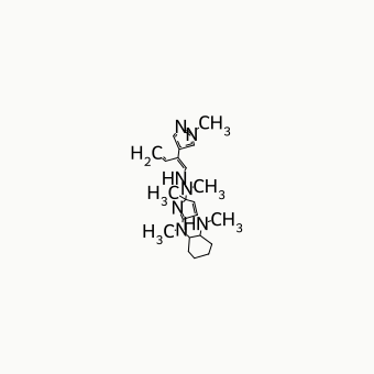 C=C/C(=C\NN(C)C1(C)C=CC(N(C)C2CCCCC2NC)=N1)c1cnn(C)c1